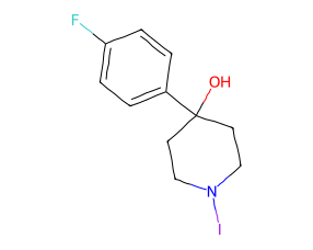 OC1(c2ccc(F)cc2)CCN(I)CC1